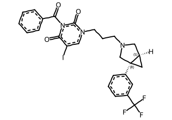 O=C(c1ccccc1)n1c(=O)c(I)cn(CCCN2C[C@H]3C[C@@]3(c3cccc(C(F)(F)F)c3)C2)c1=O